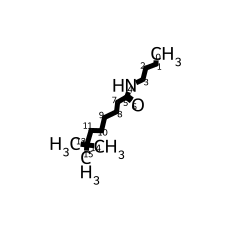 CCCCNC(=O)CCCCCC(C)(C)C